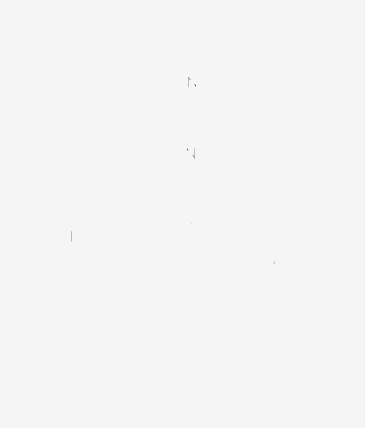 C/C=C1/CC(C)C(c2cccc3ccc(F)c(CC)c23)C/C1=N/C(C)N(C)C